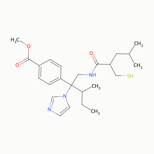 CCC(C)C(CNC(=O)C(CS)CC(C)C)(c1ccc(C(=O)OC)cc1)n1ccnc1